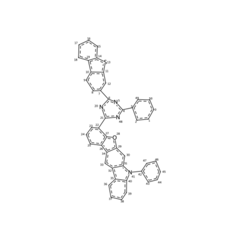 c1ccc(-c2nc(-c3ccc4c(c3)sc3ccccc34)nc(-c3cccc4c3oc3cc5c(cc34)c3ccccc3n5-c3ccccc3)n2)cc1